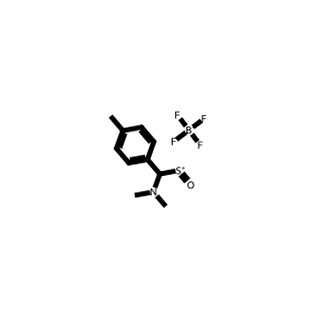 Cc1ccc(C([S+]=O)N(C)C)cc1.F[B-](F)(F)F